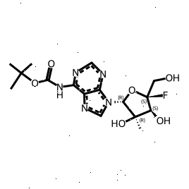 CC(C)(C)OC(=O)Nc1ncnc2c1ncn2[C@@H]1O[C@](F)(CO)[C@@H](O)[C@@]1(C)O